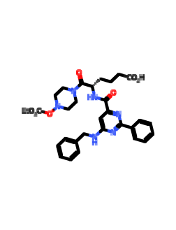 CCOC(=O)ON1CCN(C(=O)[C@H](CCCC(=O)O)NC(=O)c2cc(NCc3ccccc3)nc(-c3ccccc3)n2)CC1